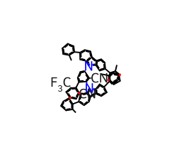 Cc1ccccc1-c1ccc2c3ccc(-c4ccccc4C)cc3n(-c3ccc(-c4c(C#N)cccc4C(F)(F)F)c(-n4c5cc(-c6ccccc6C)ccc5c5ccc(-c6ccccc6C)cc54)c3C#N)c2c1